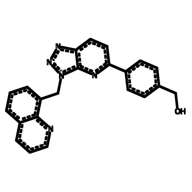 OCc1ccc(-c2ccc3nnn(Cc4cccc5cccnc45)c3n2)cc1